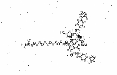 Cc1ncsc1-c1ccc(CNC(=O)[C@@H]2C[C@@H](O)CN2C(=O)[C@@H](C(C)(C)C)C(OCCOCCOCCOCCOCCOCC(N)=O)(C(N)=O)[C@@H](C(=O)N2C[C@H](O)C[C@H]2C(=O)NCc2ccc(-c3scnc3C)cc2)C(C)(C)C)cc1